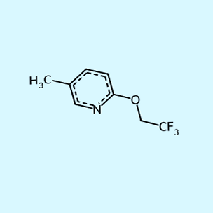 Cc1ccc(OCC(F)(F)F)nc1